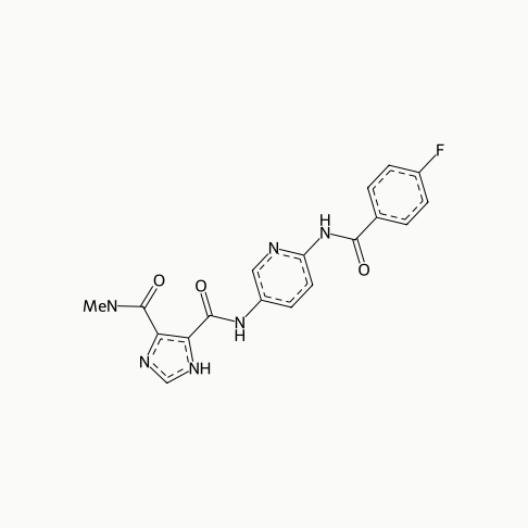 CNC(=O)c1nc[nH]c1C(=O)Nc1ccc(NC(=O)c2ccc(F)cc2)nc1